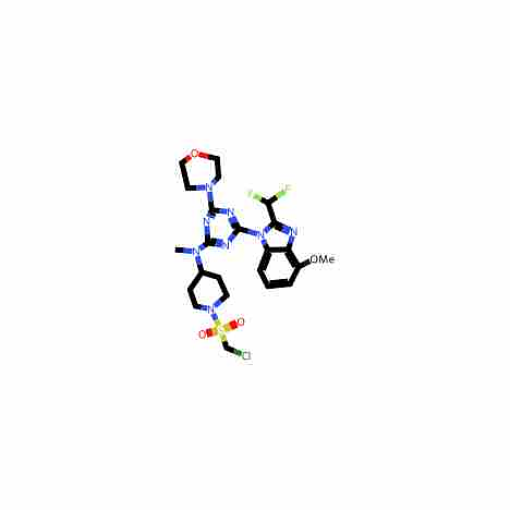 COc1cccc2c1nc(C(F)F)n2-c1nc(N2CCOCC2)nc(N(C)C2CCN(S(=O)(=O)CCl)CC2)n1